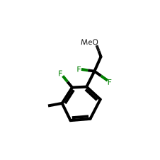 COCC(F)(F)c1cccc(C)c1F